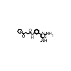 CNc1cc(-c2cccc(NC(=O)CCC(=O)N3CCCC3)c2)nc(N)n1